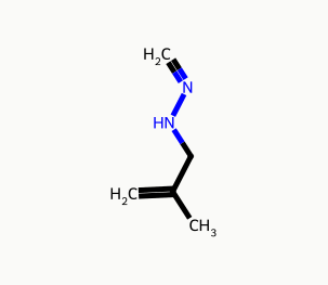 C=NNCC(=C)C